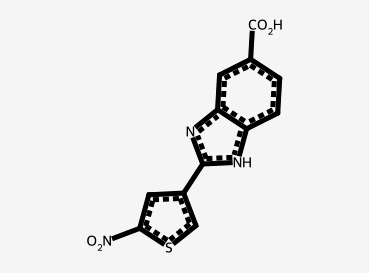 O=C(O)c1ccc2[nH]c(-c3csc([N+](=O)[O-])c3)nc2c1